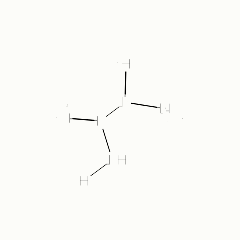 [2H]P(B)P([2H])P[3H]